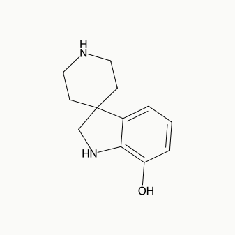 Oc1cccc2c1NCC21CCNCC1